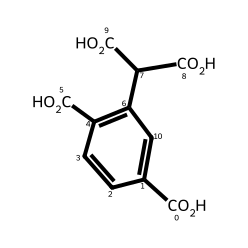 O=C(O)c1ccc(C(=O)O)c(C(C(=O)O)C(=O)O)c1